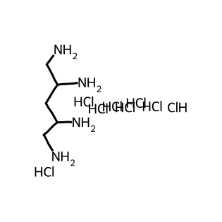 Cl.Cl.Cl.Cl.Cl.Cl.Cl.Cl.NCC(N)CC(N)CN